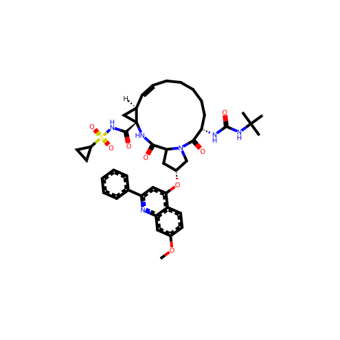 COc1ccc2c(O[C@@H]3CC4C(=O)N[C@]5(C(=O)NS(=O)(=O)C6CC6)C[C@H]5/C=C\CCCCC[C@H](NC(=O)NC(C)(C)C)C(=O)N4C3)cc(-c3ccccc3)nc2c1